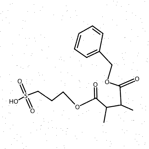 CC(C(=O)OCCCS(=O)(=O)O)C(C)C(=O)OCc1ccccc1